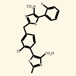 Cc1nc(C(=O)O)c(-c2ccc(Cc3nc(C(=O)O)c(-c4ccccc4F)s3)cc2Cl)s1